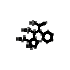 NC(=O)C(c1ccccc1)N(C(=O)O)c1nc[nH]c1C(=O)O